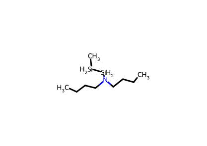 CCCCN(CCCC)[SiH2][SiH2]C